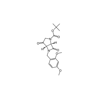 COc1ccc(CN2C(=O)[C@@H]3[C@H]2C(=O)CN3C(=O)OC(C)(C)C)c(OC)c1